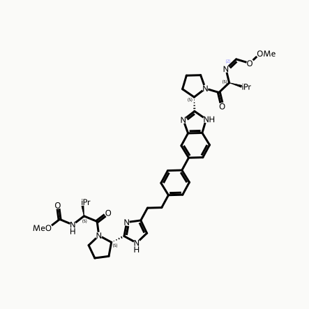 COO/C=N\[C@H](C(=O)N1CCC[C@H]1c1nc2cc(-c3ccc(CCc4c[nH]c([C@@H]5CCCN5C(=O)[C@@H](NC(=O)OC)C(C)C)n4)cc3)ccc2[nH]1)C(C)C